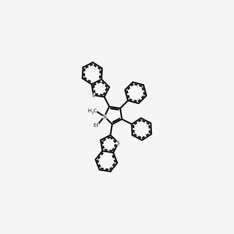 CC[Si]1(C)C(c2cc3ccccc3s2)=C(c2ccccc2)C(c2ccccc2)=C1c1cc2ccccc2s1